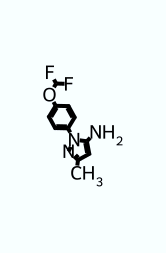 Cc1cc(N)n(-c2ccc(OC(F)F)cc2)n1